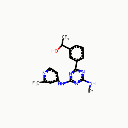 CC(C)Nc1nc(Nc2ccnc(C(F)(F)F)c2)nc(-c2cccc(C(O)C(F)(F)F)c2)n1